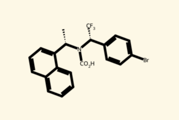 C[C@@H](c1cccc2ccccc12)N(C(=O)O)[C@@H](c1ccc(Br)cc1)C(F)(F)F